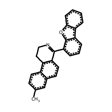 Cc1ccc2c3c(ccc2c1)C(c1cccc2c1oc1ccccc12)=NCC3